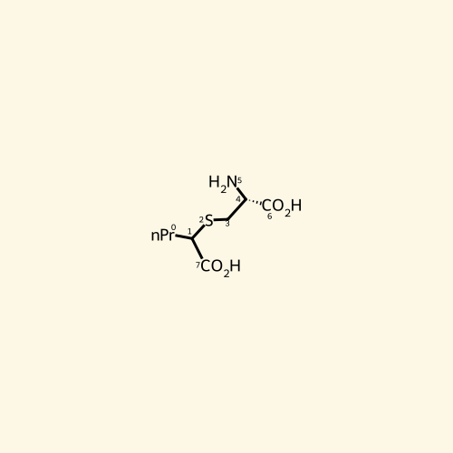 CCCC(SC[C@H](N)C(=O)O)C(=O)O